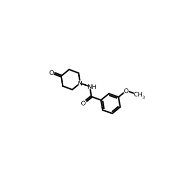 COc1cccc(C(=O)NN2CCC(=O)CC2)c1